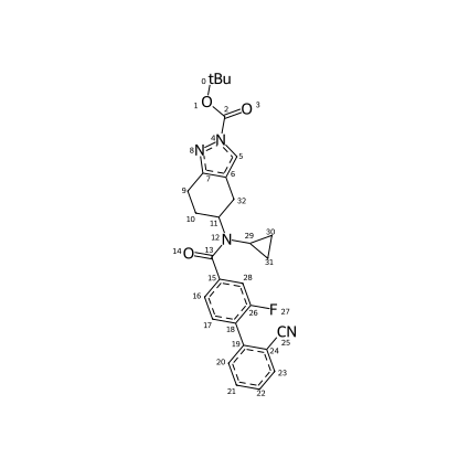 CC(C)(C)OC(=O)n1cc2c(n1)CCC(N(C(=O)c1ccc(-c3ccccc3C#N)c(F)c1)C1CC1)C2